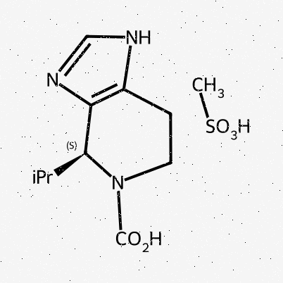 CC(C)[C@H]1c2nc[nH]c2CCN1C(=O)O.CS(=O)(=O)O